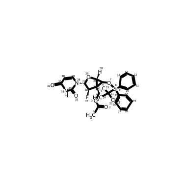 CC(=O)OC[C@]12C(O[Si](c3ccccc3)(c3ccccc3)C(C)(C)C)[C@H]1O[C@@H](n1ccc(=O)[nH]c1=O)[C@@H]2F